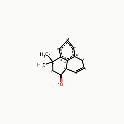 CC1(C)CC(=O)C2C=CCc3cccc1c32